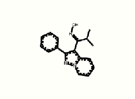 CC(C)C(=NO)c1c(-c2ccccc2)nn2ccccc12